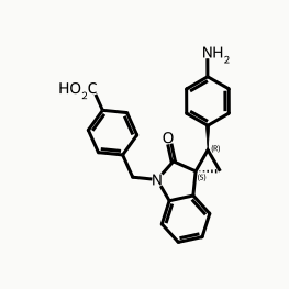 Nc1ccc([C@H]2C[C@]23C(=O)N(Cc2ccc(C(=O)O)cc2)c2ccccc23)cc1